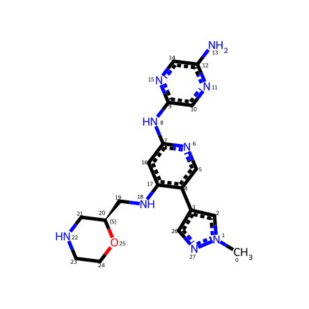 Cn1cc(-c2cnc(Nc3cnc(N)cn3)cc2NC[C@@H]2CNCCO2)cn1